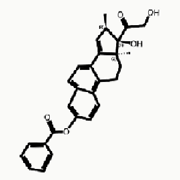 C[C@@H]1C=C2c3ccc4cc(OC(=O)c5ccccc5)ccc4c3CC[C@]2(C)[C@@]1(O)C(=O)CO